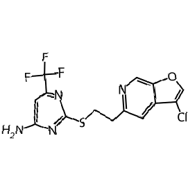 Nc1cc(C(F)(F)F)nc(SCCc2cc3c(Cl)coc3cn2)n1